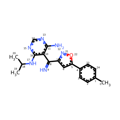 Cc1ccc(-c2cc(C(=N)c3c(N)ncnc3NC(C)C)no2)cc1